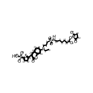 CCN(CCCS(=O)(=O)NCCCCCC(=O)ON1C(=O)CCC1=O)c1ccc2cc(-c3ccc(S(=O)(=O)O)s3)c(=O)oc2c1